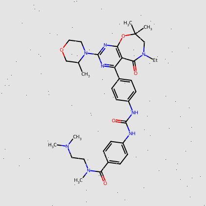 CCN1CC(C)(C)Oc2nc(N3CCOCC3C)nc(-c3ccc(NC(=O)Nc4ccc(C(=O)N(C)CCN(C)C)cc4)cc3)c2C1=O